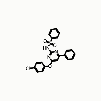 O=S(=O)(Nc1nc(Oc2ccc(Cl)cc2)cc(-c2ccccc2)n1)c1ccccc1